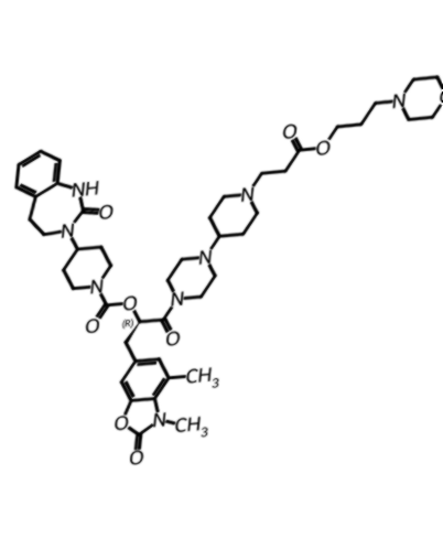 Cc1cc(C[C@@H](OC(=O)N2CCC(N3CCc4ccccc4NC3=O)CC2)C(=O)N2CCN(C3CCN(CCC(=O)OCCCN4CCOCC4)CC3)CC2)cc2oc(=O)n(C)c12